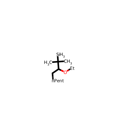 CCCCCCC(OCC)C(C)(C)[SiH3]